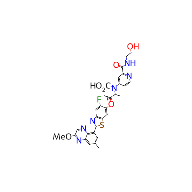 COc1cnc2c(-c3nc4cc(F)c(O[C@@H](C)C(C)N(C(=O)O)c5ccnc(C(=O)NCCO)c5)cc4s3)cc(C)cc2n1